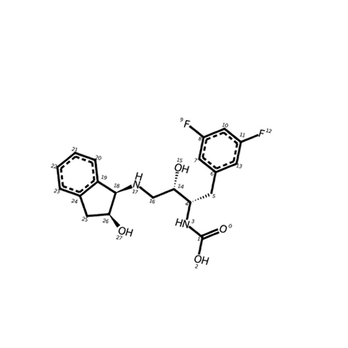 O=C(O)N[C@@H](Cc1cc(F)cc(F)c1)[C@@H](O)CN[C@@H]1c2ccccc2C[C@@H]1O